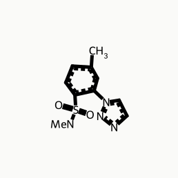 CNS(=O)(=O)c1ccc(C)cc1-n1ccnn1